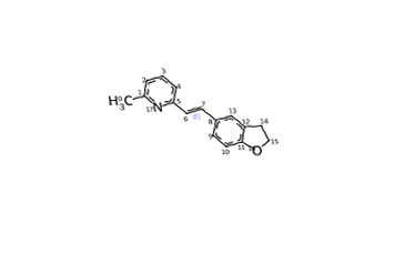 Cc1cccc(/C=C/c2ccc3c(c2)CCO3)n1